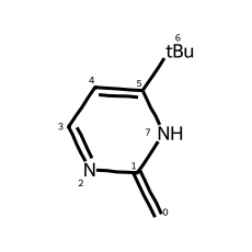 C=C1N=CC=C(C(C)(C)C)N1